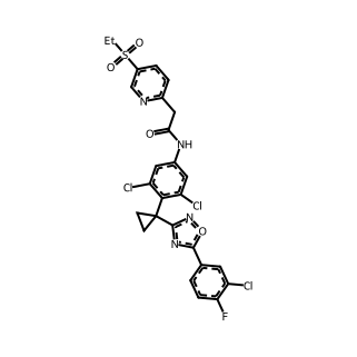 CCS(=O)(=O)c1ccc(CC(=O)Nc2cc(Cl)c(C3(c4noc(-c5ccc(F)c(Cl)c5)n4)CC3)c(Cl)c2)nc1